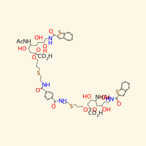 CC(=O)N[C@H]1[C@H]([C@H](O)[C@H](O)CNC(=O)c2cc3ccccc3s2)O[C@@](OCCCSCCNC(=O)c2ccc(C(=O)NCCSCCCO[C@]3(C(=O)O)C[C@H](O)[C@@H](NC(C)=O)[C@H]([C@H](O)[C@@H](O)CNC(=O)c4cc5ccccc5s4)O3)cc2)(C(=O)O)C[C@@H]1O